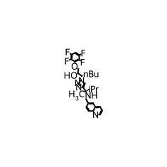 CCCC[C@@H](C(O)COc1c(F)c(F)cc(F)c1F)n1cc([C@@](C)(NCc2ccc3ncccc3c2)C(C)C)nn1